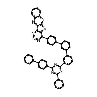 c1ccc(-c2ccc(-c3nc(-c4ccccc4)nc(-c4cccc(-c5cccc(-c6ccc(-c7nnnc8c7sc7nc9ccccc9nc78)cc6)c5)c4)n3)cc2)cc1